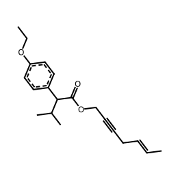 CC=CCC#CCOC(=O)C(c1ccc(OCC)cc1)C(C)C